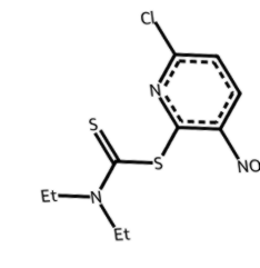 CCN(CC)C(=S)Sc1nc(Cl)ccc1[N+](=O)[O-]